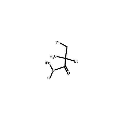 CCC(C)(CC(C)C)C(=O)N(C(C)C)C(C)C